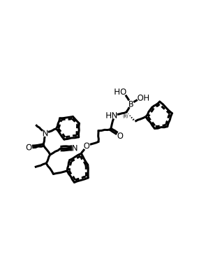 CC(Cc1cccc(OCCC(=O)N[C@@H](Cc2ccccc2)B(O)O)c1)C(C#N)C(=O)N(C)c1ccccc1